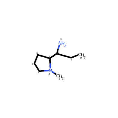 CCC(N)C1CCCN1C